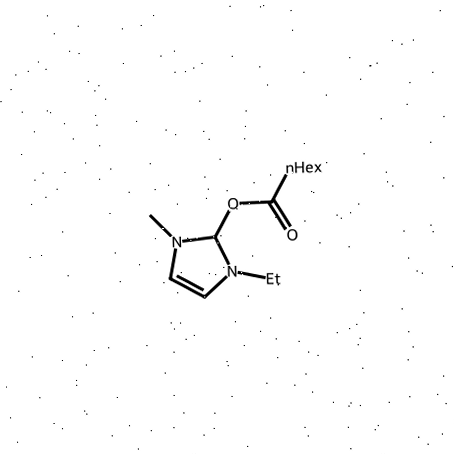 CCCCCCC(=O)OC1N(C)C=CN1CC